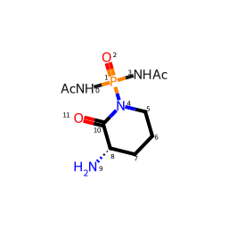 CC(=O)NP(=O)(NC(C)=O)N1CCC[C@H](N)C1=O